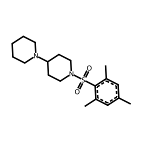 Cc1cc(C)c(S(=O)(=O)N2CCC(N3CCCCC3)CC2)c(C)c1